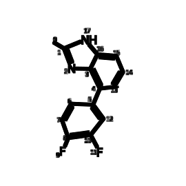 Cc1nc2c(-c3ccc(F)c(F)c3)[c]ccc2[nH]1